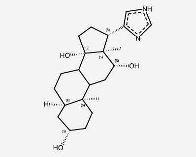 C[C@]12[C@H](O)CC3C(CC[C@@H]4C[C@@H](O)CC[C@]34C)[C@@]1(O)CC[C@@H]2c1c[nH]cn1